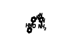 NCc1cc2c(cn1)ncn2-c1cccc(C(=O)Nc2ccccc2)c1